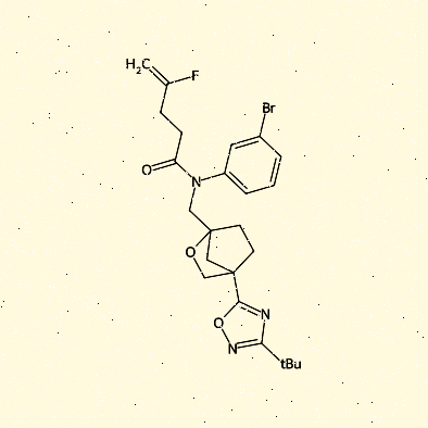 C=C(F)CCC(=O)N(CC12CCC(c3nc(C(C)(C)C)no3)(CO1)C2)c1cccc(Br)c1